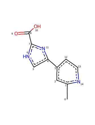 Cc1cc(-c2c[nH]c(C(=O)O)n2)ccn1